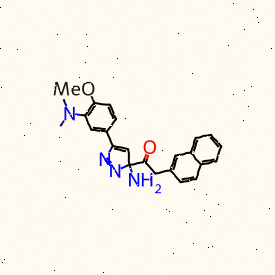 COc1ccc(C2=CC(N)(C(=O)Cc3ccc4ccccc4c3)N=N2)cc1N(C)C